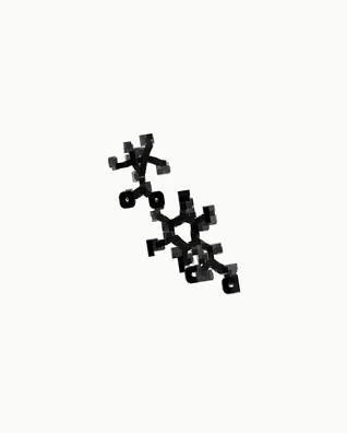 CC1(C)C(C(=O)OCc2c(F)c(F)c(C/C(Cl)=C/Cl)c(F)c2F)C1(C)C